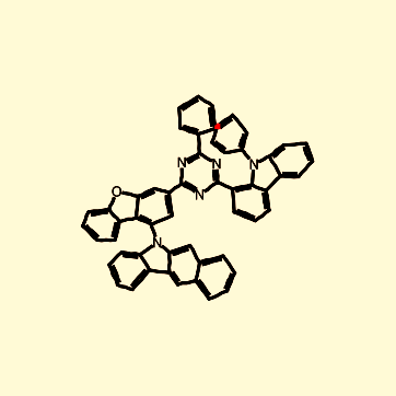 c1ccc(-c2nc(-c3cc(-n4c5ccccc5c5cc6ccccc6cc54)c4c(c3)oc3ccccc34)nc(-c3cccc4c5ccccc5n(-c5ccccc5)c34)n2)cc1